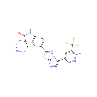 Cc1ncc(-c2cnc3sc(-c4ccc5c(c4)C4(CCNCC4)C(=O)N5)nn23)cc1C(F)(F)F